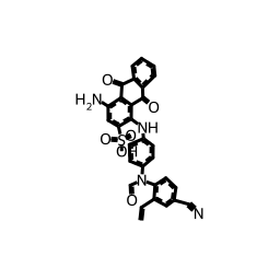 C=Cc1cc(C#N)ccc1N(C=O)c1ccc(Nc2c(S(=O)(=O)O)cc(N)c3c2C(=O)c2ccccc2C3=O)cc1